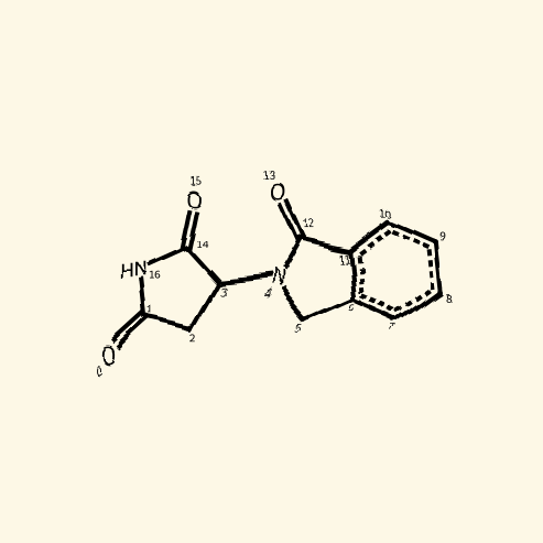 O=C1CC(N2Cc3ccccc3C2=O)C(=O)N1